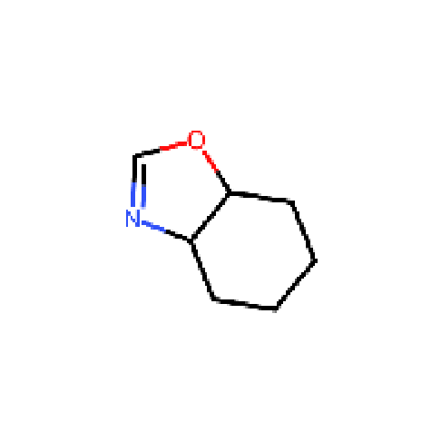 C1=NC2CCCCC2O1